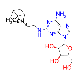 CC1(C)C2CC=C(CCNc3nc(N)c4ncn([C@@H]5O[C@H](CO)[C@@H](O)[C@H]5O)c4n3)C1C2